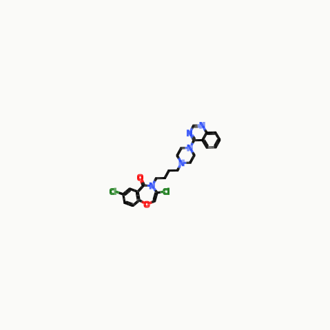 O=C1c2cc(Cl)ccc2OC=C(Cl)N1CCCCN1CCN(c2ncnc3ccccc23)CC1